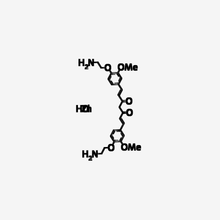 COc1cc(/C=C/C(=O)CC(=O)/C=C/c2ccc(OCCN)c(OC)c2)ccc1OCCN.Cl.[Zn]